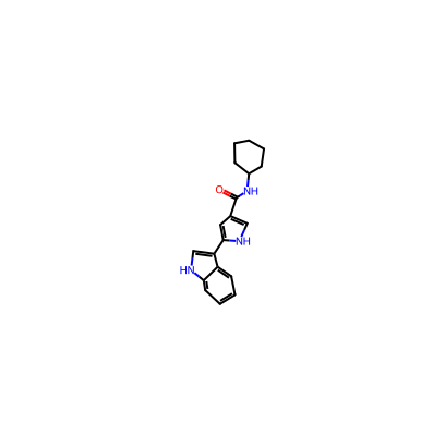 O=C(NC1CCCCC1)c1c[nH]c(-c2c[nH]c3ccccc23)c1